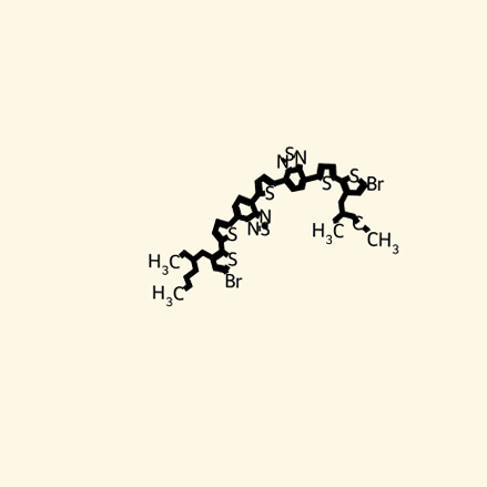 CCCCC(CC)Cc1cc(Br)sc1-c1ccc(-c2ccc(-c3ccc(-c4ccc(-c5ccc(-c6sc(Br)cc6CC(CC)CCCC)s5)c5nsnc45)s3)c3nsnc23)s1